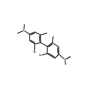 Cc1cc(N(C)C)cc(Br)c1-c1c(C)cc(N(C)C)cc1Br